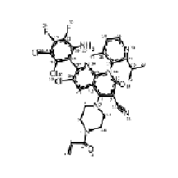 C=CC(=O)N1CCN(c2c(C#N)c(=O)n(-c3c(C)ccnc3C(C)C)c3nc(-c4c(N)c(F)c(F)c(Cl)c4Cl)c(Cl)cc23)CC1